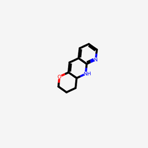 C1=C2OCCCC2Nc2ncccc21